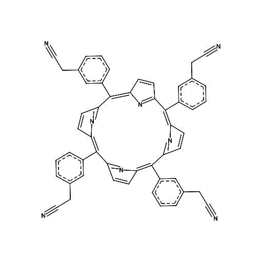 N#CCc1cccc(C2=C3C=CC(=N3)C(c3cccc(CC#N)c3)=C3C=CC(=N3)C(c3cccc(CC#N)c3)=C3C=CC(=N3)C(c3cccc(CC#N)c3)=C3C=CC2=N3)c1